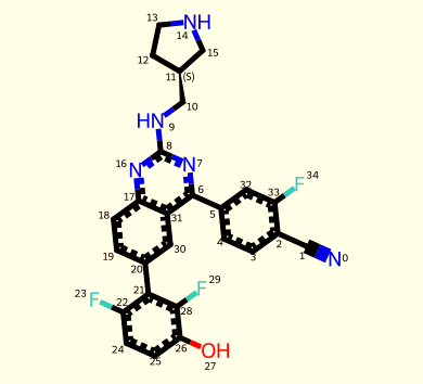 N#Cc1ccc(-c2nc(NC[C@H]3CCNC3)nc3ccc(-c4c(F)ccc(O)c4F)cc23)cc1F